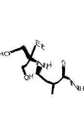 CCC(CO)(CO)NCC(C)C(N)=O